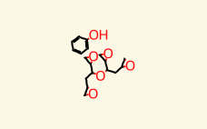 C1OC1CC(OC(CC1CO1)C1CO1)C1CO1.Oc1ccccc1